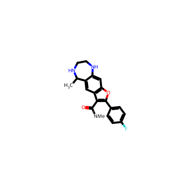 CNC(=O)c1c(-c2ccc(F)cc2)oc2cc3c(cc12)C(C)NCCN3